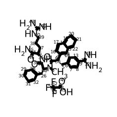 CN(C(=O)[C@@H](Cc1ccc(C(=N)N)cc1)c1ccc2ccccc2c1)[C@@H](Cc1ccccc1)C(=O)NC(CCCNC(=N)N)C(N)=O.O=C(O)C(F)(F)F